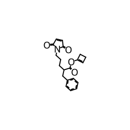 O=C(OC1=CCC1)C(CCCN1C(=O)C=CC1=O)Cc1ccccc1